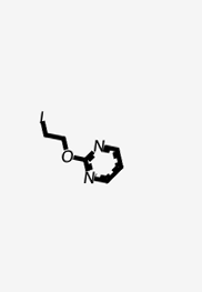 ICCOc1ncccn1